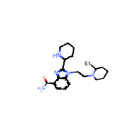 CCC1CCCCN1CCn1c(C2CCCCN2)nc2c(C(N)=O)cccc21